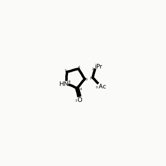 CC(=O)CC(C)C.O=C1CCCN1